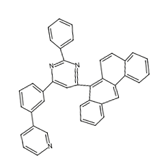 c1ccc(-c2nc(-c3cccc(-c4cccnc4)c3)cc(-c3c4ccccc4cc4c3ccc3ccccc34)n2)cc1